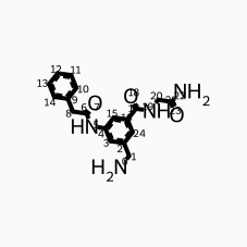 NCc1cc(NC(=O)Cc2ccccc2)cc(C(=O)NCC(N)=O)c1